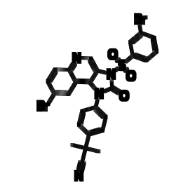 CC(C)(C#N)c1ccc(-n2c(=O)n(S(=O)(=O)c3cccc(Br)c3)c3cnc4ccc(Br)cc4c32)cc1